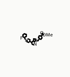 COC(=O)c1ccc(Cn2ccc3c(C4CCN(Cc5ccccc5F)CC4)ccnc32)cc1